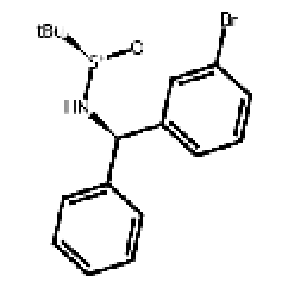 CC(C)(C)[S@@+]([O-])N[C@H](c1ccccc1)c1cccc(Br)c1